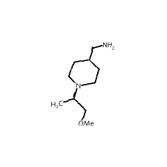 COCC(C)N1CCC(CN)CC1